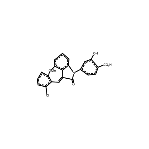 COc1cccc(Cl)c1/C=C1/C(=O)N(c2ccc(C(=O)O)c(O)c2)c2cccc(C)c21